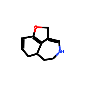 C1=CC2=C3C(=CNCCC3C1)CO2